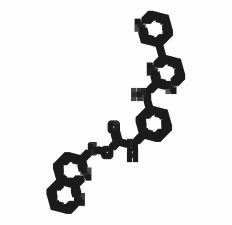 O=C(Nc1cccc(Nc2nccc(-c3cccnc3)n2)c1)OSc1ccc2cccnc2n1